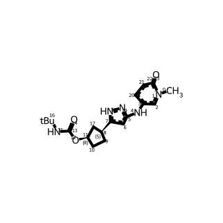 Cn1cc(Nc2cc([C@H]3CC[C@@H](OC(=O)NC(C)(C)C)C3)[nH]n2)ccc1=O